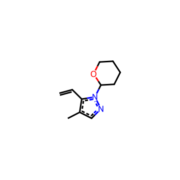 C=Cc1c(C)cnn1C1CCCCO1